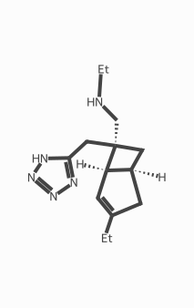 CCNC[C@]1(Cc2nnn[nH]2)C[C@H]2CC(CC)=C[C@H]21